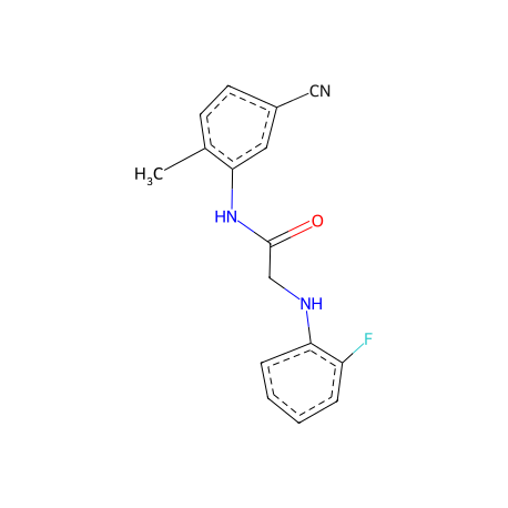 Cc1ccc(C#N)cc1NC(=O)CNc1ccccc1F